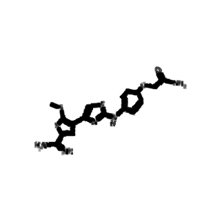 CSc1sc(C(=N)N)cc1-c1csc(Nc2ccc(OCC(N)=O)cc2)n1